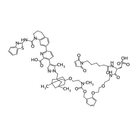 Cc1c(-c2ccc(-c3ccc4c(c3)N(C(=O)Nc3nc5ccccc5s3)CCC4)nc2C(=O)O)cnn1CC12CC3(C)CC(C)(C1)CC(OCCN(C)C(=O)OCc1cc[c]cc1OCCOCCNC(=O)[C@H](CS(=O)(=O)O)NC(=O)CCCCCN1C(=O)C=CC1=O)(C3)C2